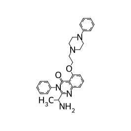 CC(N)c1nc2cccc(OCCN3CCN(c4ccccc4)CC3)c2c(=O)n1-c1ccccc1